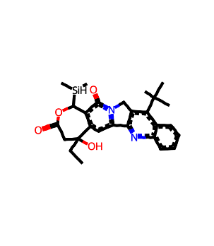 CCC1(O)CC(=O)OC([SiH](C)C)c2c1cc1n(c2=O)Cc2c-1nc1ccccc1c2C(C)(C)C